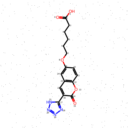 O=C(O)CCCCCOc1ccc2oc(=O)c(-c3nnn[nH]3)cc2c1